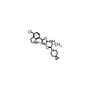 C[C@@H](Nc1nnc(-c2ccc(Cl)c3c2NCC3)o1)C(=O)N1CCC2(CC1)CC2